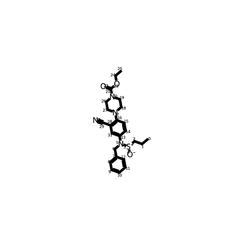 CCC[S+]([O-])N(Cc1ccccc1)c1ccc(N2CCN(C(=O)OCC)CC2)c(C#N)c1